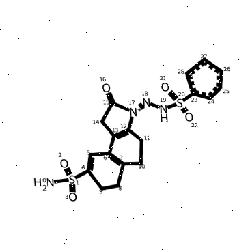 NS(=O)(=O)C1=CC2=C(CC1)CCC1=C2CC(=O)[N+]1=NNS(=O)(=O)c1ccccc1